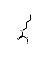 CCCCNC(=O)O[N]